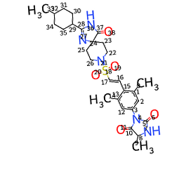 Cc1cc(N2C(=O)NC(C)C2=O)cc(C)c1C=CS(=O)(=O)N1CCC2(CC1)N=C(C1CCC(C)CC1)NC2=O